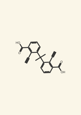 C#Cc1c(C(=O)O)cccc1C(C)(C)c1cccc(C(=O)O)c1C#C